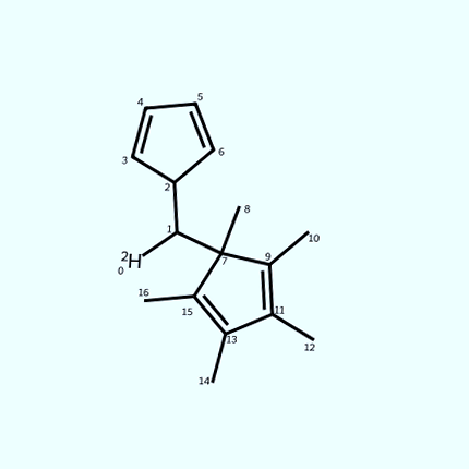 [2H]C(C1C=CC=C1)C1(C)C(C)=C(C)C(C)=C1C